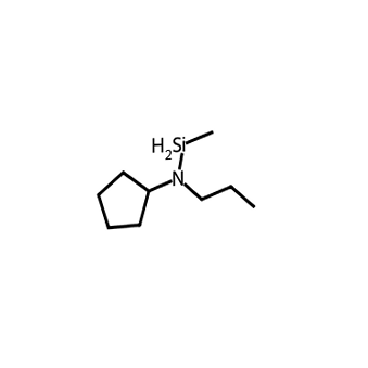 CCCN([SiH2]C)C1CCCC1